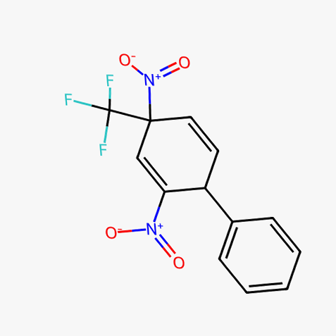 O=[N+]([O-])C1=CC([N+](=O)[O-])(C(F)(F)F)C=CC1c1ccccc1